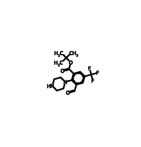 CC(C)(C)OC(=O)c1cc(C(F)(F)F)cc(C=O)c1N1CCNCC1